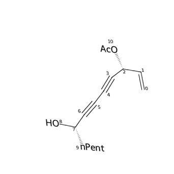 C=C[C@H](C#CC#C[C@@H](O)CCCCC)OC(C)=O